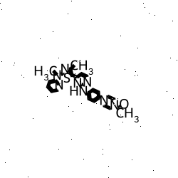 CC(=O)N1CCN(c2ccc(Nc3nccc(-c4sc(N(C)c5ccccn5)nc4C)n3)cc2)CC1